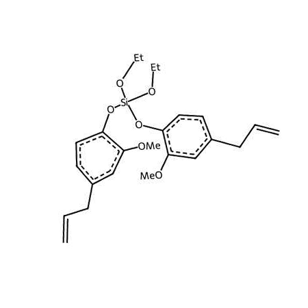 C=CCc1ccc(O[Si](OCC)(OCC)Oc2ccc(CC=C)cc2OC)c(OC)c1